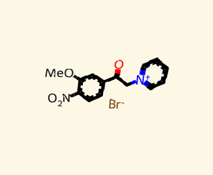 COc1cc(C(=O)C[n+]2ccccc2)ccc1[N+](=O)[O-].[Br-]